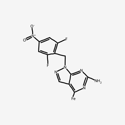 Nc1n[c]([Fe])c2cnn(Cc3c(F)cc([N+](=O)[O-])cc3F)c2n1